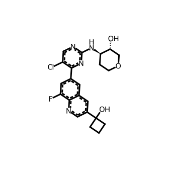 O[C@@H]1COCC[C@H]1Nc1ncc(Cl)c(-c2cc(F)c3ncc(C4(O)CCC4)cc3c2)n1